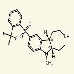 CN1c2ccc(S(=O)(=O)c3ccccc3C(F)(F)F)cc2[C@@H]2CCNCC[C@@H]21